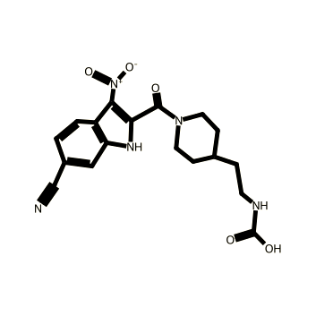 N#Cc1ccc2c([N+](=O)[O-])c(C(=O)N3CCC(CCNC(=O)O)CC3)[nH]c2c1